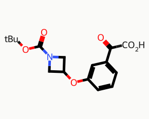 CC(C)(C)OC(=O)N1CC(Oc2cccc(C(=O)C(=O)O)c2)C1